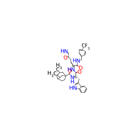 CC1CC2CCC(C(=O)N[C@@H](Cc3c[nH]c4ccccc34)C(=O)N[C@@H](CCC(=O)C=N)C(=O)NCc3ccc(C(F)(F)F)cc3)(C1)CC2C